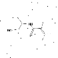 CC(C)=C(C)C(=O)NC(C)CO